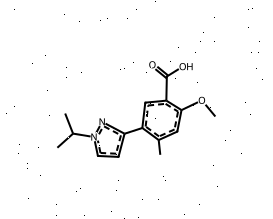 COc1cc(C)c(-c2ccn(C(C)C)n2)cc1C(=O)O